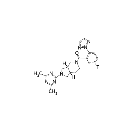 Cc1cc(C)nc(N2C[C@H]3CCN(C(=O)c4cc(F)ccc4-n4nccn4)C[C@H]3C2)n1